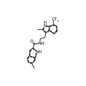 Cc1ccc2cc(C(=O)NCCc3c(C)[nH]c4c(C(F)(F)F)cccc34)[nH]c2c1